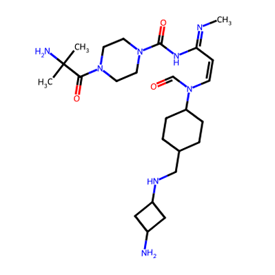 C/N=C(\C=C/N(C=O)C1CCC(CNC2CC(N)C2)CC1)NC(=O)N1CCN(C(=O)C(C)(C)N)CC1